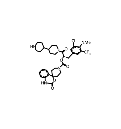 CNc1c(Cl)cc(C[C@@H](OC(=O)N2CCC3(CC2)OC(=O)Nc2ccccc23)C(=O)N2CCC(C3CCNCC3)CC2)cc1C(F)(F)F